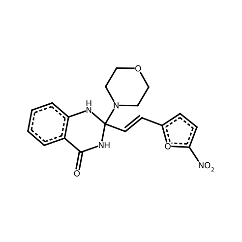 O=C1NC(C=Cc2ccc([N+](=O)[O-])o2)(N2CCOCC2)Nc2ccccc21